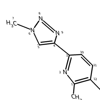 Cc1nc(-c2[c]n(C)nn2)ccc1Br